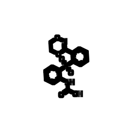 O=C(O)Nc1ccccc1S(=O)(=O)c1ccccc1C1=NOCCO1